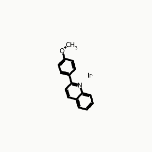 COc1ccc(-c2ccc3ccccc3n2)cc1.[Ir]